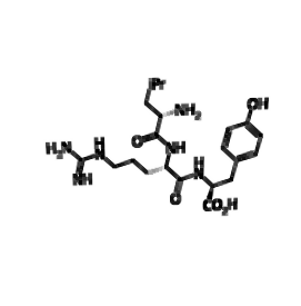 CC(C)C[C@H](N)C(=O)N[C@@H](CCCNC(=N)N)C(=O)N[C@@H](Cc1ccc(O)cc1)C(=O)O